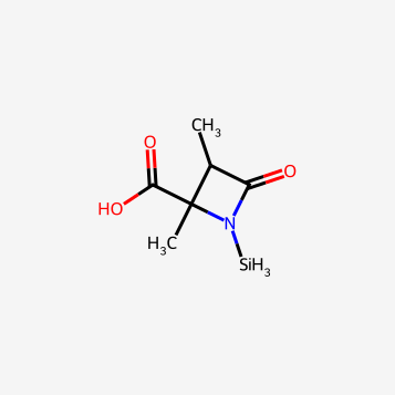 CC1C(=O)N([SiH3])C1(C)C(=O)O